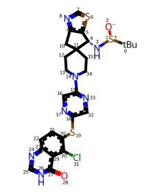 CC(C)(C)[S+]([O-])N[C@H]1c2scnc2CC12CCN(c1cnc(Sc3ccc4nc[nH]c(=O)c4c3Cl)cn1)CC2